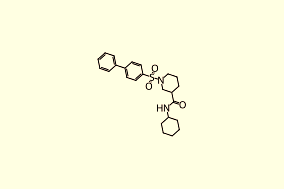 O=C(NC1CCCCC1)C1CCCN(S(=O)(=O)c2ccc(-c3ccccc3)cc2)C1